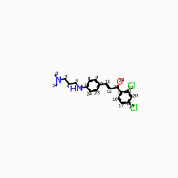 CN(C)CCCNc1ccc(/C=C/C(=O)c2ccc(Cl)cc2Cl)cc1